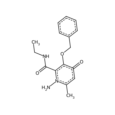 CCNC(=O)c1c(OCc2ccccc2)c(=O)cc(C)n1N